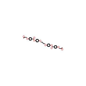 O=C(Oc1ccc(OCCCCOc2ccc(OC(=O)c3ccc(OCC4CO4)cc3)cc2)cc1)c1ccc(OCC2CO2)cc1